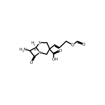 NC1C(=O)N2CC(C=CCOC=O)(C(=O)O)CS[C@H]12